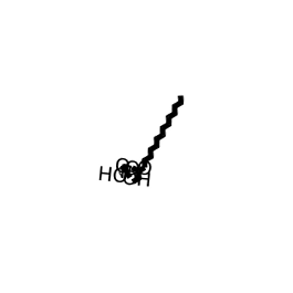 CCCCCCCCCCCCCOC(CC)OP(=O)(O)O